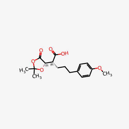 COc1ccc(CCC[C@@H](C(=O)O)[C@@H]2OC(C)(C)OC2=O)cc1